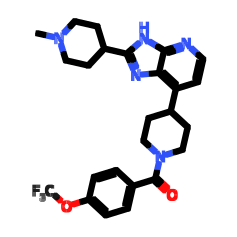 CN1CCC(c2nc3c(C4CCN(C(=O)c5ccc(OC(F)(F)F)cc5)CC4)ccnc3[nH]2)CC1